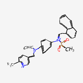 CS(=O)(=O)N(Cc1cccc2ccccc12)c1ccc(N(C=O)Cc2ccc(C(F)(F)F)nc2)cc1